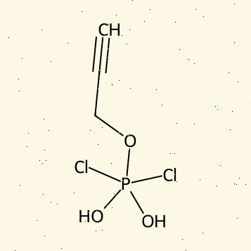 C#CCOP(O)(O)(Cl)Cl